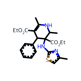 CCOC(=O)C1=C(C)NC(C)C(Nc2nc(C)cs2)(C(=O)OCC)C1c1ccccc1